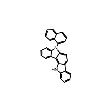 c1ccc2c(-n3c4ccccc4c4c5[nH]c6ccccc6c5ccc43)cccc2c1